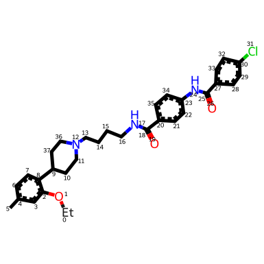 CCOc1cc(C)ccc1C1CCN(CCCCNC(=O)c2ccc(NC(=O)c3ccc(Cl)cc3)cc2)CC1